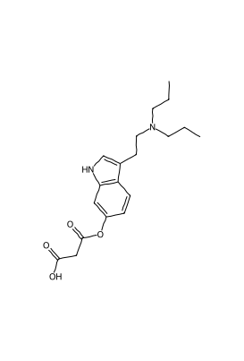 CCCN(CCC)CCc1c[nH]c2cc(OC(=O)CC(=O)O)ccc12